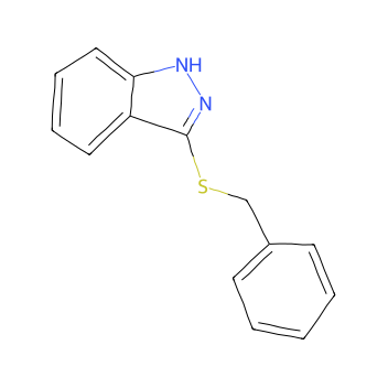 c1ccc(CSc2n[nH]c3ccccc23)cc1